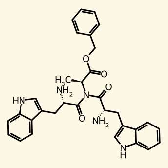 C[C@@H](C(=O)OCc1ccccc1)N(C(=O)[C@@H](N)Cc1c[nH]c2ccccc12)C(=O)[C@@H](N)Cc1c[nH]c2ccccc12